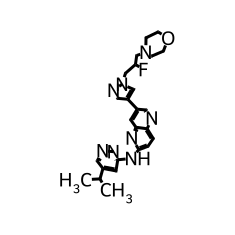 CC(C)c1cnnc(Nc2ccc3ncc(-c4cnn(CC(F)CN5CCOCC5)c4)cc3n2)c1